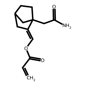 C=CC(=O)OC=C1CC2CCC1(CC(N)=O)C2